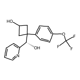 OC1CC(c2ccc(OC(F)(F)F)cc2)([C@H](O)c2ccccn2)C1